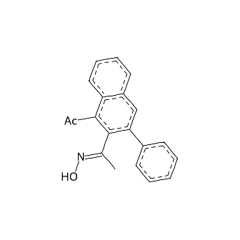 CC(=O)c1c(C(C)=NO)c(-c2ccccc2)cc2ccccc12